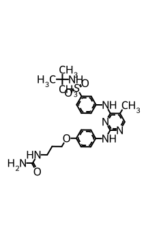 Cc1cnc(Nc2ccc(OCCCNC(N)=O)cc2)nc1Nc1cccc(S(=O)(=O)NC(C)(C)C)c1